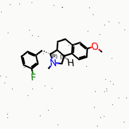 COc1ccc2c(c1)CCC1[C@@H]2CN(C)[C@@H]1Cc1cccc(F)c1